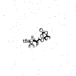 CC1OC(=O)OC1(C)OC/C(F)=C(\F)[Si](C)(C)C(C)(C)C